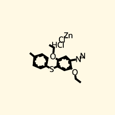 CCOc1cc(Sc2ccc(C)cc2)c(OCC)cc1[N+]#N.Cl.[Cl-].[Zn]